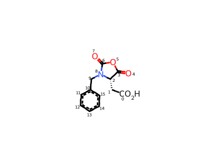 O=C(O)C[C@H]1C(=O)OC(=O)N1Cc1ccccc1